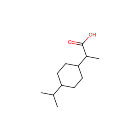 CC(C)C1CCC(C(C)C(=O)O)CC1